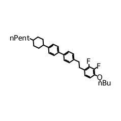 CCCCCC1CCC(c2ccc(-c3ccc(CCc4ccc(OCCCC)c(F)c4F)cc3)cc2)CC1